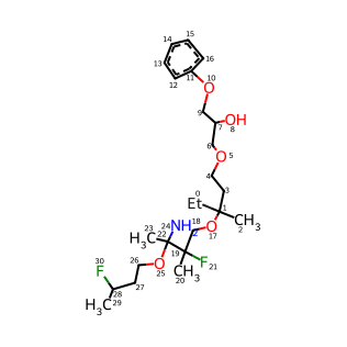 CCC(C)(CCOCC(O)COc1ccccc1)OCC(C)(F)C(C)(N)OCCC(C)F